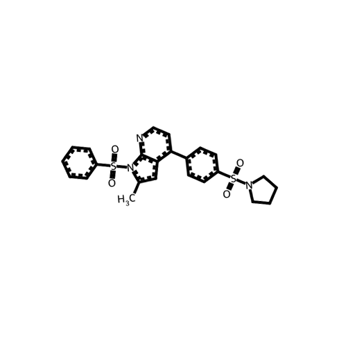 Cc1cc2c(-c3ccc(S(=O)(=O)N4CCCC4)cc3)ccnc2n1S(=O)(=O)c1ccccc1